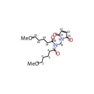 COCCCCC(=O)N(CN1C(=O)C=CC1=O)C(=O)CCCCOC